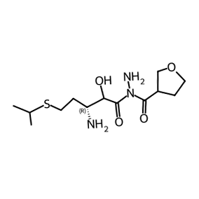 CC(C)SCC[C@@H](N)C(O)C(=O)N(N)C(=O)C1CCOC1